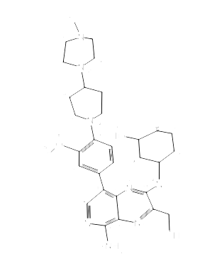 CCc1nc2c(N)ncc(-c3ccc(N4CCC(N5CCN(C)CC5)CC4)c(OC)c3)c2nc1NC1CCCC(O)C1